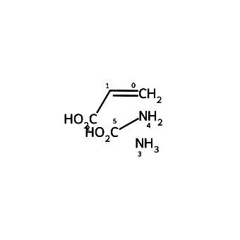 C=CC(=O)O.N.NC(=O)O